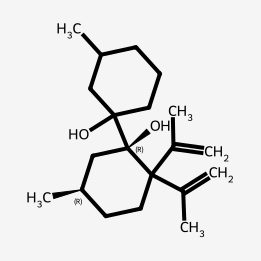 C=C(C)C1(C(=C)C)CC[C@@H](C)C[C@]1(O)C1(O)CCCC(C)C1